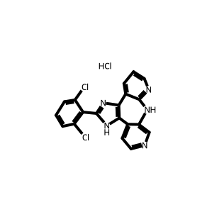 Cl.Clc1cccc(Cl)c1-c1nc2c([nH]1)-c1ccncc1Nc1ncccc1-2